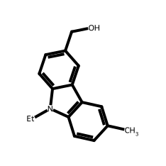 CCn1c2ccc(C)cc2c2cc(CO)ccc21